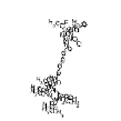 Cc1cc(F)cc(-c2cnc(N3CCN(C(=O)CCOCCOCCOCCOCCNC(=O)CCC(C(=O)OC(C)(C)C)N4CCN(CC(=O)OC(C)(C)C)CCN(CC(=O)OC(C)(C)C)CCN(CC(=O)OC(C)(C)C)CC4)CC3)c(-c3nc4cc(Cl)ccc4[nH]3)c2N2CCC(NC(=O)OCc3ccccc3)CC2)c1